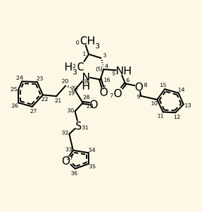 CC(C)C[C@H](NC(=O)OCc1ccccc1)C(=O)N[C@@H](CCc1ccccc1)C(=O)CSCc1ccco1